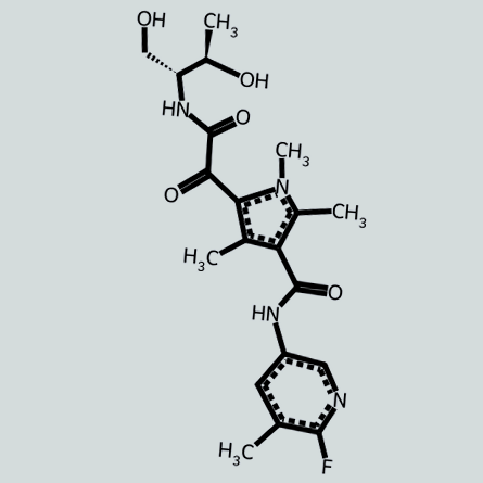 Cc1cc(NC(=O)c2c(C)c(C(=O)C(=O)N[C@H](CO)[C@@H](C)O)n(C)c2C)cnc1F